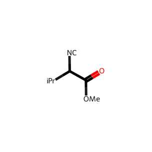 [C-]#[N+]C(C(=O)OC)C(C)C